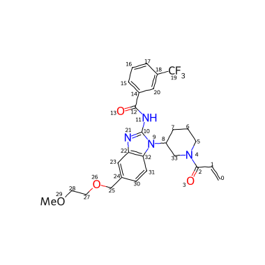 C=CC(=O)N1CCCC(n2c(NC(=O)c3cccc(C(F)(F)F)c3)nc3cc(COCCOC)ccc32)C1